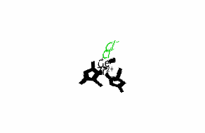 CC1=CC(C)=[C]([Zr+2]([C]2=C(C)C(C)=CC2C)=[Ge]([CH3])[CH3])C1.[Cl-].[Cl-]